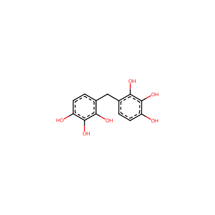 Oc1ccc(Cc2ccc(O)c(O)c2O)c(O)c1O